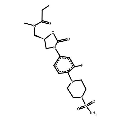 CCC(=S)N(C)C[C@@H]1CN(c2ccc(N3CCN(S(N)(=O)=O)CC3)c(F)c2)C(=O)O1